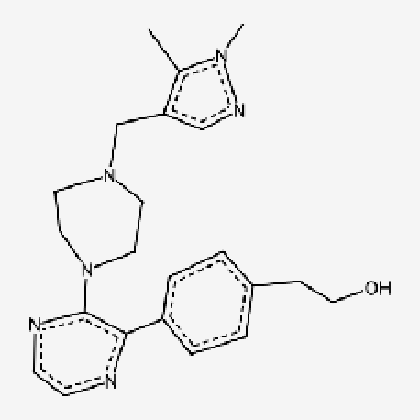 Cc1c(CN2CCN(c3nccnc3-c3ccc(CCO)cc3)CC2)cnn1C